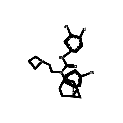 N#Cc1cccc([C@]23CC[C@@H](N(CCN4CCC4)C(=O)Nc4ccc(Cl)c(Cl)c4)CC2C3)c1